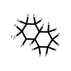 FC1C(F)(C(F)(F)F)C(F)(F)C(F)(F)C2(F)C(F)(F)C(F)(F)C(F)(F)C(F)(F)C12F